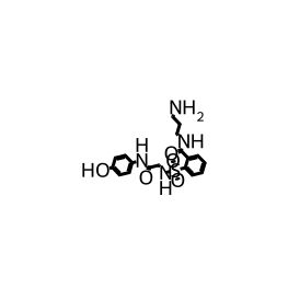 NCCCNC(=O)c1ccccc1S(=O)(=O)NCC(=O)Nc1ccc(O)cc1